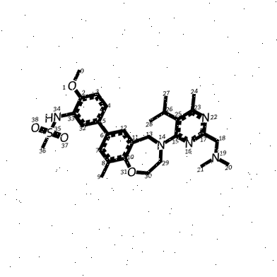 COc1ccc(-c2cc(C)c3c(c2)CN(c2nc(CN(C)C)nc(C)c2C(C)C)CCO3)cc1NS(C)(=O)=O